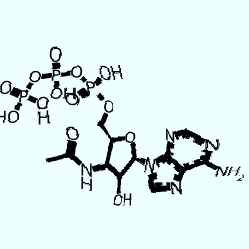 CC(=O)NC1C(O)[C@H](n2cnc3c(N)ncnc32)O[C@@H]1COP(=O)(O)OP(=O)(O)OP(=O)(O)O